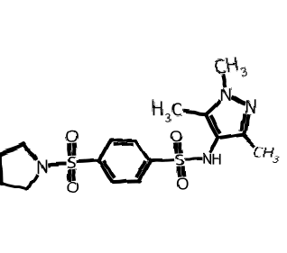 Cc1nn(C)c(C)c1NS(=O)(=O)c1ccc(S(=O)(=O)N2CCCC2)cc1